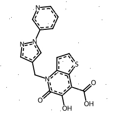 O=C(O)c1c(O)c(=O)n(Cc2cnn(-c3cccnc3)c2)c2ccsc12